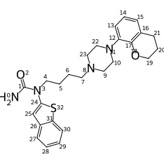 NC(=O)N(CCCCN1CCN(c2cccc3c2OCCC3)CC1)c1cc2ccccc2s1